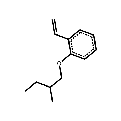 C=Cc1ccccc1OCC(C)CC